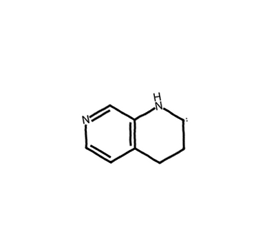 [C]1CCc2ccncc2N1